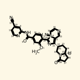 COc1cc(C(=O)Nc2cc(C#N)ccn2)ccc1C1=NC([C@@H]2CC[C@H]3CCC(=O)N3C2)=C2C=NC=C[N+]12N